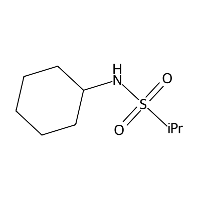 CC(C)S(=O)(=O)NC1CCCCC1